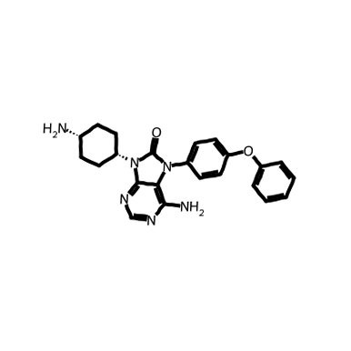 Nc1ncnc2c1n(-c1ccc(Oc3ccccc3)cc1)c(=O)n2[C@H]1CC[C@@H](N)CC1